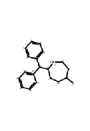 CC1CCNC(C(c2ccccc2)c2ccccc2)CC1